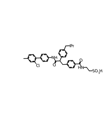 Cc1ccc(-c2ccc(NC(=O)C(Cc3ccc(C(=O)NCCS(=O)(=O)O)cc3)c3ccc(CC(C)C)cc3)cc2)c(Cl)c1